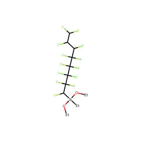 CCO[Si](CC)(OCC)C(F)C(F)(F)C(F)(F)C(F)(F)C(F)(F)C(F)C(F)C(F)F